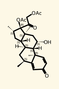 CC(=O)OCC(=O)[C@@]1(OC(C)=O)[C@@H](C)C[C@H]2[C@@H]3C[C@H](C)C4=CC(=O)C=C[C@]4(C)[C@H]3[C@@H](O)C[C@@]21C